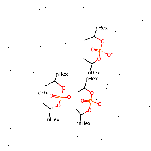 CCCCCCC(C)OP(=O)([O-])OC(C)CCCCCC.CCCCCCC(C)OP(=O)([O-])OC(C)CCCCCC.CCCCCCC(C)OP(=O)([O-])OC(C)CCCCCC.[Cr+3]